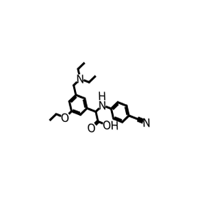 CCOc1cc(CN(CC)CC)cc(C(Nc2ccc(C#N)cc2)C(=O)O)c1